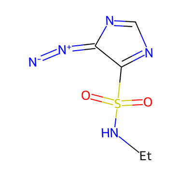 CCNS(=O)(=O)C1=NC=NC1=[N+]=[N-]